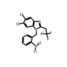 O=[N+]([O-])c1ccccc1Cn1c(CC(F)(F)F)nc2cc(Cl)c(Cl)cc21